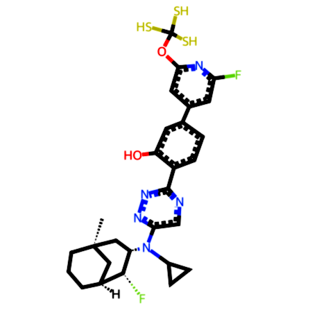 C[C@@]12CCC[C@@H](C1)[C@@H](F)[C@@H](N(c1cnc(-c3ccc(-c4cc(F)nc(OC(S)(S)S)c4)cc3O)nn1)C1CC1)C2